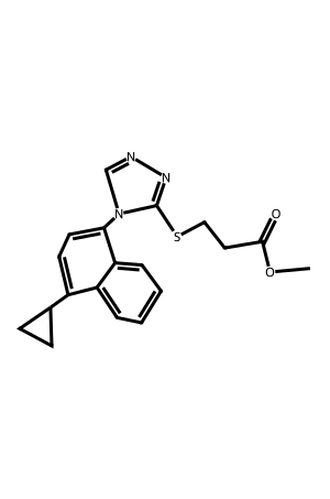 COC(=O)CCSc1nncn1-c1ccc(C2CC2)c2ccccc12